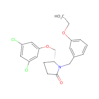 O=C(O)COc1cccc(CN2C(=O)CC[C@@H]2COc2cc(Cl)cc(Cl)c2)c1